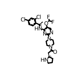 C[C@@H](Nc1nc(N2CCN(C(=O)C[C@H]3CCCN3)CC2)ncc1OC(F)F)c1ccc(Cl)cc1Cl